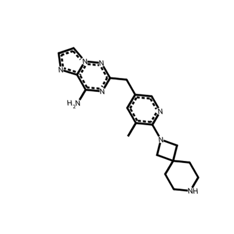 Cc1cc(Cc2nc(N)c3nccn3n2)cnc1N1CC2(CCNCC2)C1